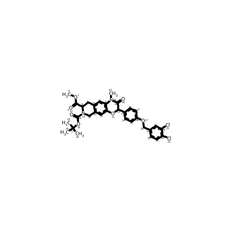 COC(=O)C1Cc2cc3c(cc2CN1C(=O)OC(C)(C)C)OC(c1ccc(OCc2ccc(Cl)c(Cl)c2)cc1)C(=O)N3C